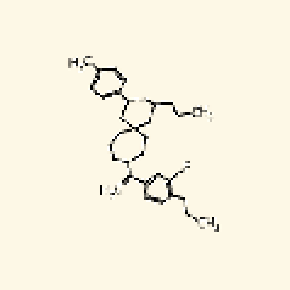 C=C(c1ccc(CCC)c(F)c1)C1CCCC2(CC1)CC(CCC)CC(c1ccc(C)cc1)C2